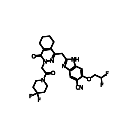 N#Cc1cc2nc(Cc3nn(CC(=O)N4CCC(F)(F)CC4)c(=O)c4c3CCCC4)[nH]c2cc1OCC(F)F